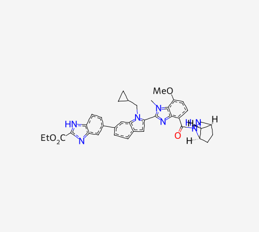 CCOC(=O)c1nc2cc(-c3ccc4cc(-c5nc6c(C(=O)N7C[C@H]8CC[C@@H]7[C@@H]8N)ccc(OC)c6n5C)n(CC5CC5)c4c3)ccc2[nH]1